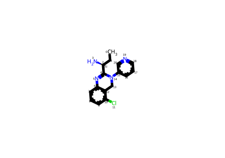 CC[C@H](N)C1=Nc2cccc(Cl)c2CN1c1cccnc1